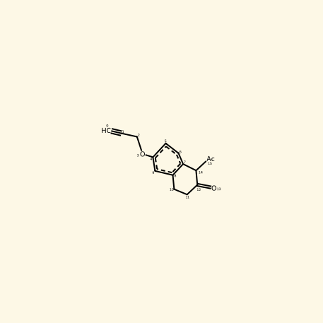 C#CCOc1ccc2c(c1)CCC(=O)C2C(C)=O